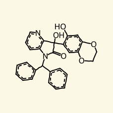 O=C1N(C(c2ccccc2)c2ccccc2)c2cccnc2C1(O)c1cc2c(cc1O)OCCO2